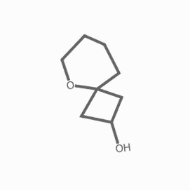 OC1CC2(CCCCO2)C1